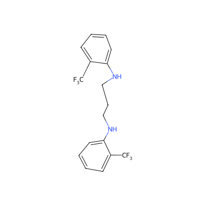 FC(F)(F)c1ccccc1NCCCNc1ccccc1C(F)(F)F